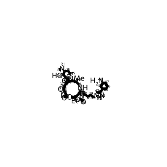 CC[C@H]1OC(=O)[C@@](C)(F)C(=O)[C@H](C)[C@@H](O[C@@H]2O[C@H](C)CC(N(C)C)C2O)[C@](C)(OC)C[C@@H](C)CN[C@H](C)[C@H]2N(CCCCn3cc(-c4cccc(N)c4)nn3)C(=O)O[C@]12C